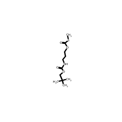 CSC(=O)OCCCNC(=O)OCC(C)(C)C